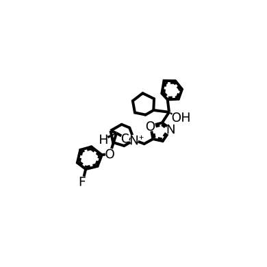 O[C@](c1ccccc1)(c1ncc(C[N+]23CCC(CC2)[C@@H](Oc2cccc(F)c2)C3)o1)C1CCCCC1